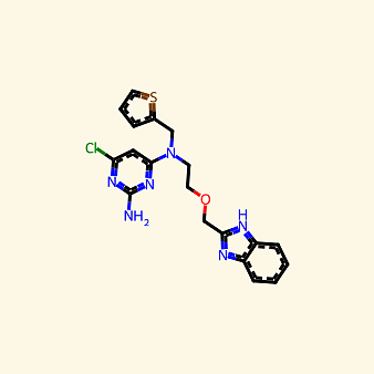 Nc1nc(Cl)cc(N(CCOCc2nc3ccccc3[nH]2)Cc2cccs2)n1